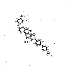 CC(C)(C)c1ccc(Oc2ccc3cc(C(=O)N[C@@H](Cc4ccc(-c5ccc(OC(F)(F)F)cc5)cc4)C(=O)O)ncc3c2)cc1